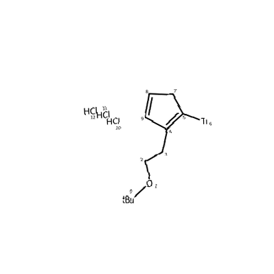 CC(C)(C)OCCC1=[C]([Ti])CC=C1.Cl.Cl.Cl